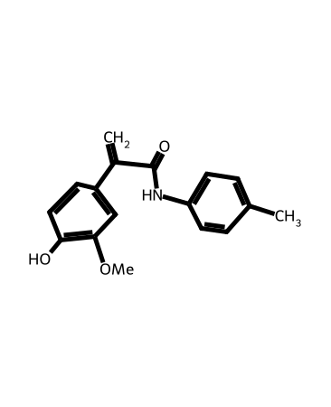 C=C(C(=O)Nc1ccc(C)cc1)c1ccc(O)c(OC)c1